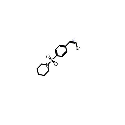 O=S(=O)(c1ccc(/C=C\Br)cc1)N1CCCCC1